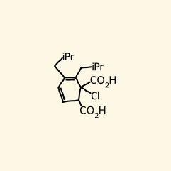 CC(C)CC1=C(CC(C)C)C(Cl)(C(=O)O)C(C(=O)O)C=C1